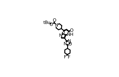 CC(C)(C)OC(=O)N1CCC(c2cc(=O)[nH]c3c(-c4noc(C5CCC(F)(F)CC5)n4)cnn23)CC1